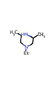 C[CH]N1CC(C)NC(C)C1